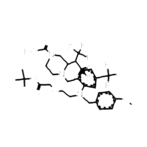 COc1ccc(CN(CCOCC(=O)OC(C)(C)C)c2cc(C(F)(F)F)ccc2CN2CCN(C(=O)O)CC2C(C(F)(F)F)C(F)(F)F)cc1